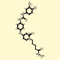 O=C(CCCCn1ccc(Oc2ccc(NC(=O)Nc3ccc(Cl)c(C(F)(F)F)c3)cc2)cc1=O)NO